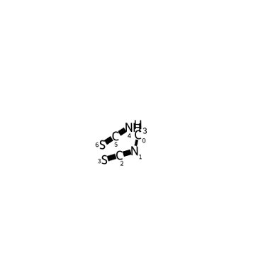 CN=C=S.N=C=S